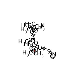 CC(=O)NC1C(OCC23CC2(OP(OCCC#N)N(C(C)C)C(C)C)C3)OC(COC23CC(CSSc4ccccn4)(C2)C3)C(OC(C)=O)C1OC(C)=O